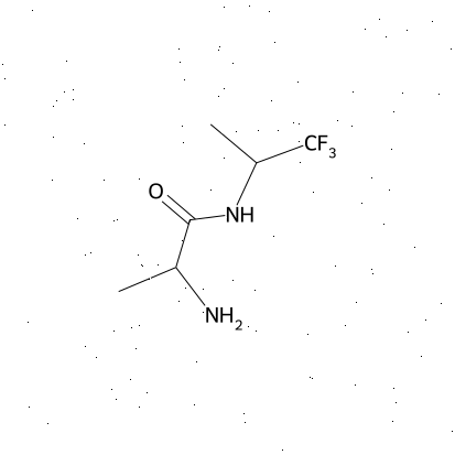 CC(N)C(=O)NC(C)C(F)(F)F